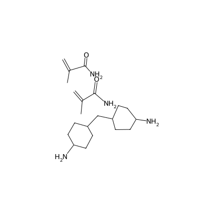 C=C(C)C(N)=O.C=C(C)C(N)=O.NC1CCC(CC2CCC(N)CC2)CC1